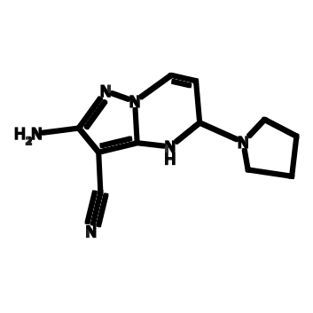 N#Cc1c(N)nn2c1NC(N1CCCC1)C=C2